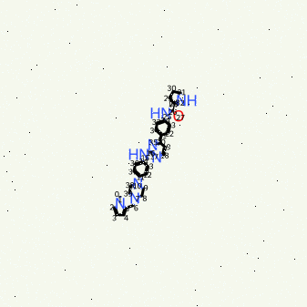 Cn1cccc1CN1CCN(c2ccc(Nc3nccc(-c4ccc(NC(=O)[C@H]5CCCN5)cc4)n3)cc2)CC1